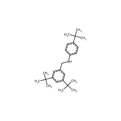 CC(C)(C)c1ccc(NCc2cc(C(C)(C)C)cc(C(C)(C)C)c2)cc1